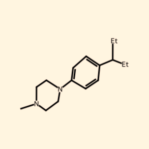 CCC(CC)c1ccc(N2CCN(C)CC2)cc1